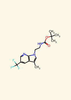 Cc1cn(CCNC(=O)OC(C)(C)C)c2ncc(C(F)(F)F)cc12